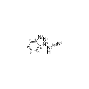 N#CNn1nnc2ccccc21